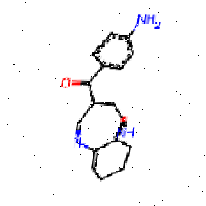 Nc1ccc(C(=O)C2C=NC3=CCCCC34NC=CC=C4C2)cc1